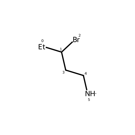 CCC(Br)CC[NH]